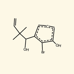 C=CC(C)(C)C(O)c1cccc(O)c1Br